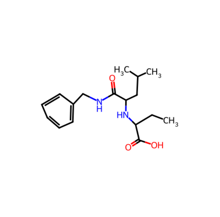 CCC(NC(CC(C)C)C(=O)NCc1ccccc1)C(=O)O